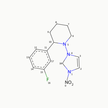 O=[N+]([O-])N1C=CN(N2CCCCC2c2cccc(F)c2)C1